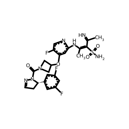 CC(=N)/C(=C(/C)Nc1cc(OC2CN(C(=O)N3N=CC[C@H]3c3cc(F)cc(F)c3)C2)c(F)cn1)S(N)(=O)=O